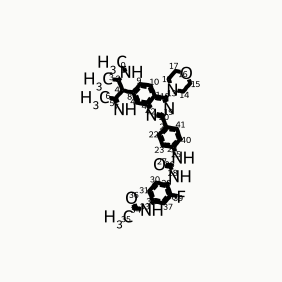 CNC(C)C(C(C)=N)c1ccc2c(N3CCOCC3)nc(-c3ccc(NC(=O)Nc4ccc(NC(C)=O)cc4F)cc3)nc2c1